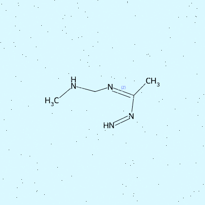 CNC/N=C(/C)N=N